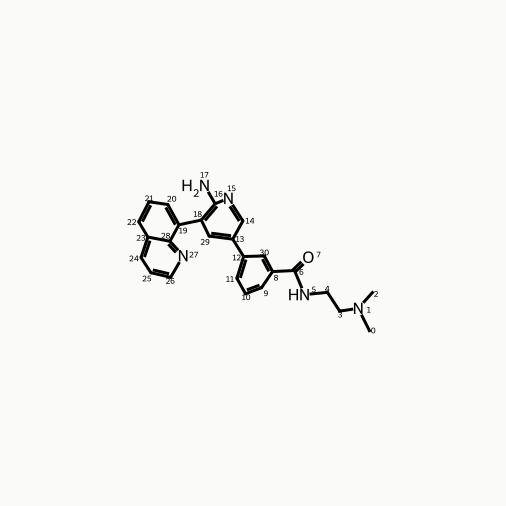 CN(C)CCNC(=O)c1cccc(-c2cnc(N)c(-c3cccc4cccnc34)c2)c1